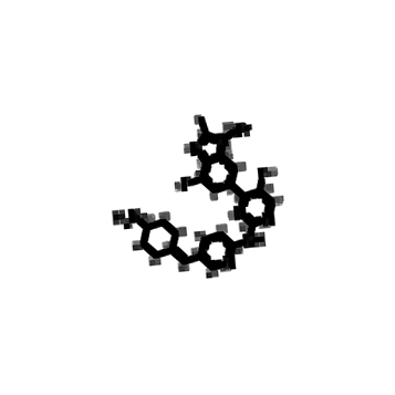 Cc1nc2c(F)cc(-c3nc(Nc4ccc(C=C5CCC(N)CC5)cn4)ncc3F)cc2n1C(C)C